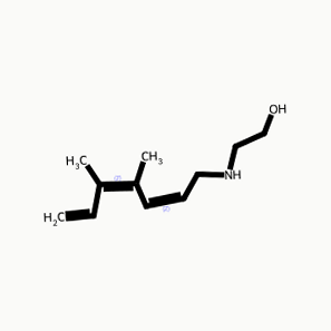 C=C/C(C)=C(C)\C=C/CNCCO